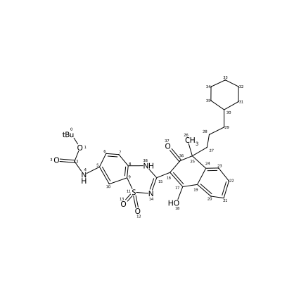 CC(C)(C)OC(=O)Nc1ccc2c(c1)S(=O)(=O)N=C(C1=C(O)c3ccccc3C(C)(CCCC3CCCCC3)C1=O)N2